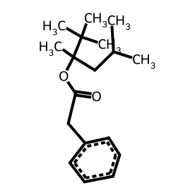 CC(C)CC(C)(OC(=O)Cc1ccccc1)C(C)(C)C